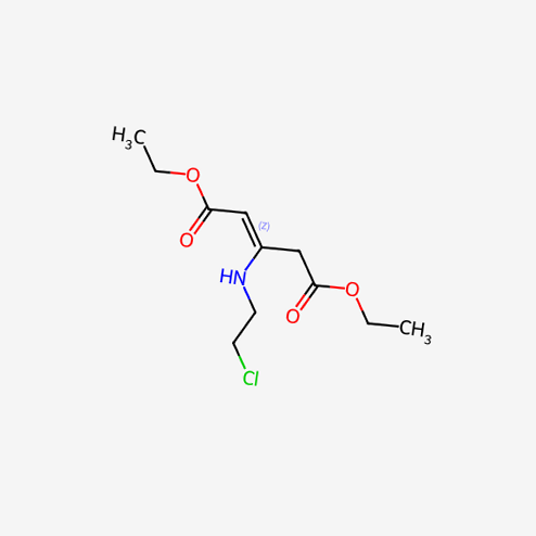 CCOC(=O)/C=C(/CC(=O)OCC)NCCCl